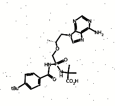 C[C@H](Cn1cnc2c(N)ncnc21)OCP(=O)(NC(=O)c1ccc(C(C)(C)C)cc1)NC(C)(C)C(=O)O